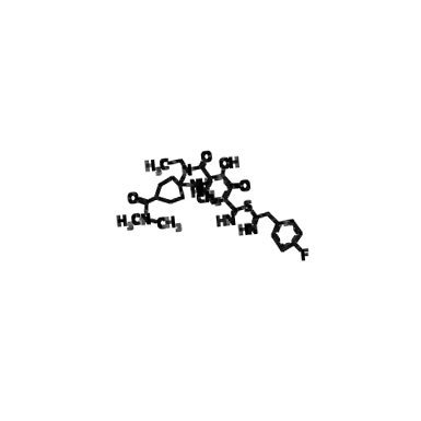 CCN(C(=O)c1[nH]cc(C(=N)SC(=N)Cc2ccc(F)cc2)c(=O)c1O)C1(NC)CCC(C(=O)N(C)C)CC1